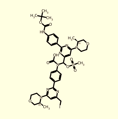 C[C@H]1COCCN1c1cc(CI)nc(-c2ccc(N(C(=O)O)C(OS(C)(=O)=O)c3cc(N4CCOC[C@@H]4C)nc(-c4ccc(NC(=O)OC(C)(C)C)cc4)n3)cc2)n1